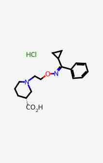 Cl.O=C(O)[C@@H]1CCCN(CCO/N=C(/c2ccccc2)C2CC2)C1